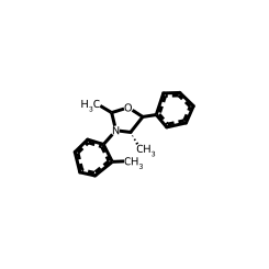 Cc1ccccc1N1C(C)OC(c2ccccc2)[C@@H]1C